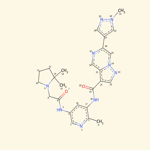 Cc1ncc(NC(=O)CN2CCCC2(C)C)cc1NC(=O)c1cnn2cc(-c3cnn(C)c3)ncc12